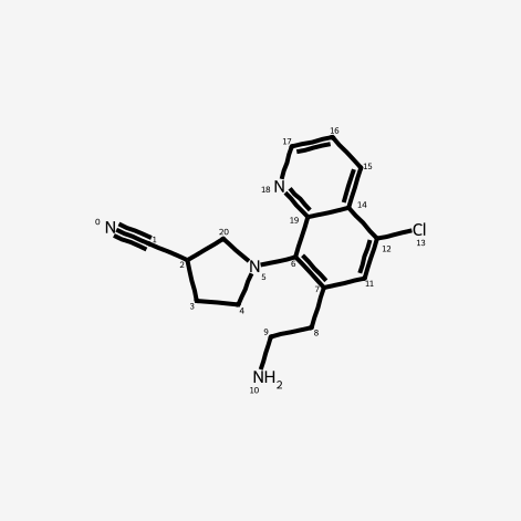 N#CC1CCN(c2c(CCN)cc(Cl)c3cccnc23)C1